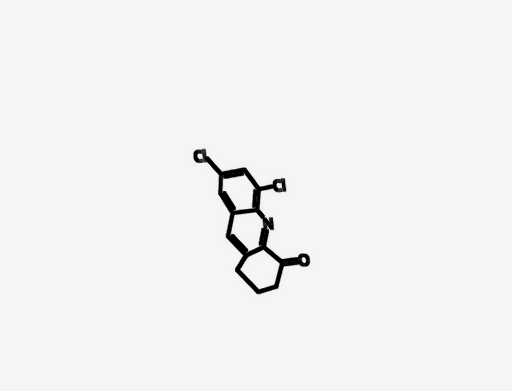 O=C1CCCc2cc3cc(Cl)cc(Cl)c3nc21